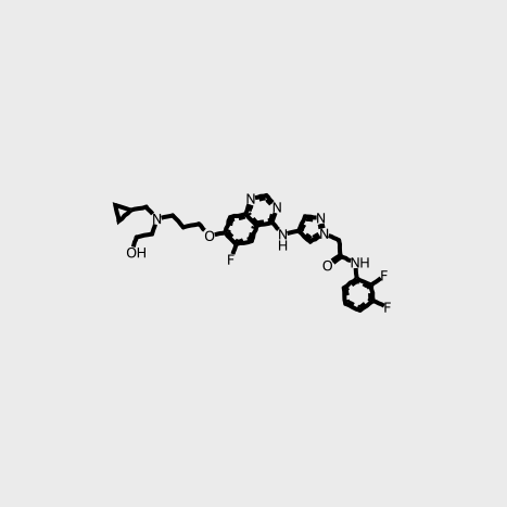 O=C(Cn1cc(Nc2ncnc3cc(OCCCN(CCO)CC4CC4)c(F)cc23)cn1)Nc1cccc(F)c1F